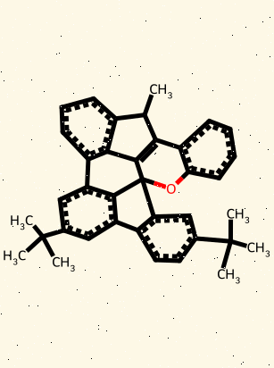 CC1C2=C3c4c(cccc41)-c1cc(C(C)(C)C)cc4c1C3(Oc1ccccc12)c1cc(C(C)(C)C)ccc1-4